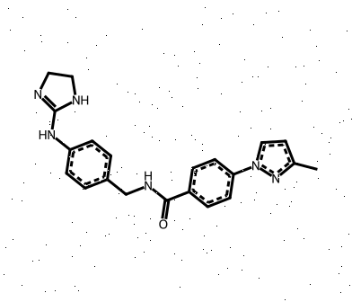 Cc1ccn(-c2ccc(C(=O)NCc3ccc(NC4=NCCN4)cc3)cc2)n1